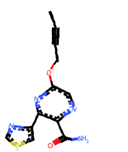 CC#CCOc1cnc(C(N)=O)c(-c2cscn2)n1